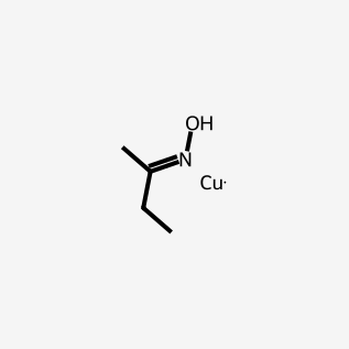 CCC(C)=NO.[Cu]